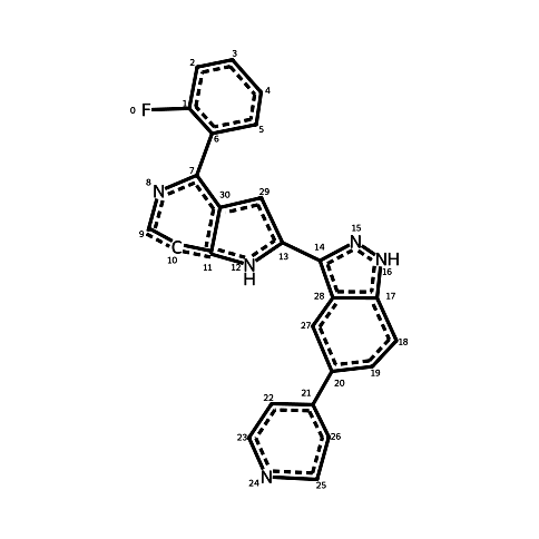 Fc1ccccc1-c1nccc2[nH]c(-c3n[nH]c4ccc(-c5ccncc5)cc34)cc12